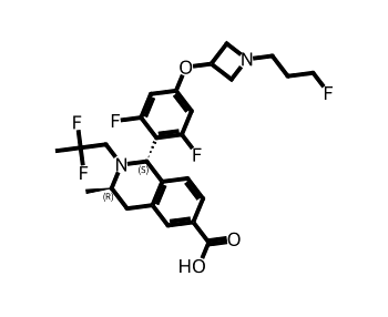 C[C@@H]1Cc2cc(C(=O)O)ccc2[C@@H](c2c(F)cc(OC3CN(CCCF)C3)cc2F)N1CC(C)(F)F